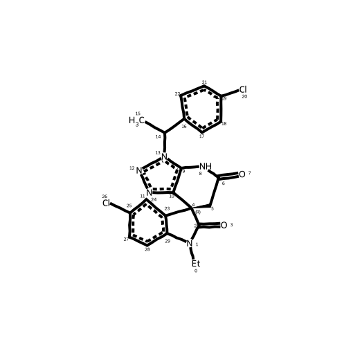 CCN1C(=O)[C@]2(CC(=O)Nc3c2nnn3C(C)c2ccc(Cl)cc2)c2cc(Cl)ccc21